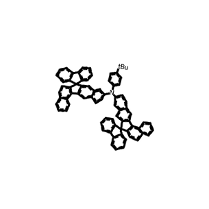 CC(C)(C)c1ccc(N(c2ccc3cc4c(cc3c2)C2(c3ccccc3-c3ccccc32)c2ccc3ccccc3c2-4)c2ccc3cc4c(cc3c2)C2(c3ccccc3-c3ccccc32)c2ccc3ccccc3c2-4)cc1